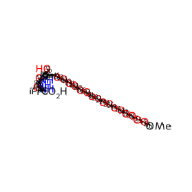 COCCOCCOCCOCCOCCOCCOCCOCCOCCOCCOCCOCCOCCOCCOCCOCCOCC#Cc1cc(NC(=O)[C@H](C)NC(=O)[C@@H](NC(=O)O)C(C)C)ccc1CO